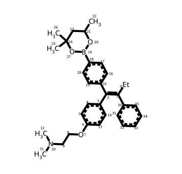 CCC(=C(c1ccc(OCCN(C)C)cc1)c1ccc(B2OC(C)CC(C)(C)O2)cc1)c1ccccc1